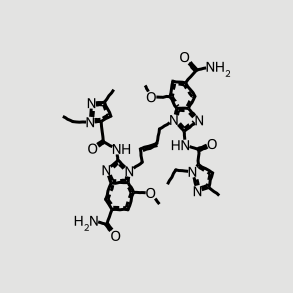 CCn1nc(C)cc1C(=O)Nc1nc2cc(C(N)=O)cc(OC)c2n1C/C=C/Cn1c(NC(=O)c2cc(C)nn2CC)nc2cc(C(N)=O)cc(OC)c21